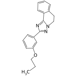 CCCOc1cccc(-c2nc3n(n2)CCc2ccccc2-3)c1